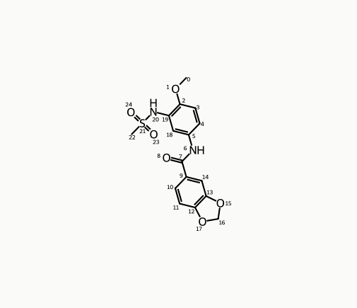 COc1ccc(NC(=O)c2ccc3c(c2)OCO3)cc1NS(C)(=O)=O